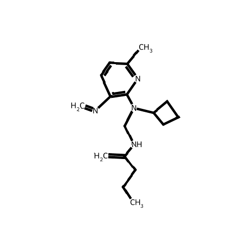 C=Nc1ccc(C)nc1N(CNC(=C)CCC)C1CCC1